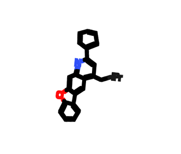 CC(C)Cc1cc(-c2ccccc2)nc2cc3oc4ccccc4c3cc12